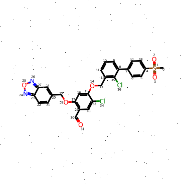 CS(=O)(=O)c1ccc(-c2cccc(COc3cc(OCc4ccc5nonc5c4)c(C=O)cc3Cl)c2Cl)cc1